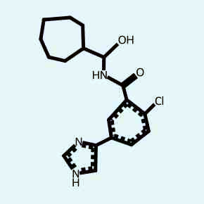 O=C(NC(O)C1CCCCCC1)c1cc(-c2c[nH]cn2)ccc1Cl